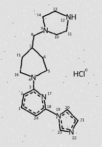 Cl.c1cc(N2CCC(CN3CCNCC3)CC2)nc(-n2ccnc2)c1